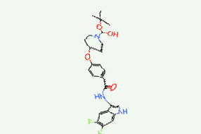 CC(C)(C)OC(O)N1CCC(Oc2ccc(C(=O)Nc3c[nH]c4cc(F)c(F)cc34)cc2)CC1